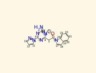 COC(Cc1nc(N)nc(-n2cccn2)n1)n1ccc2ccccc21